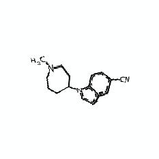 CN1CCCC(n2ccc3cc(C#N)ccc32)CC1